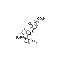 O=C(O)COc1ccc(SCC=C(c2ccccc2OC(F)(F)F)c2ccccc2OC(F)(F)F)cc1Cl